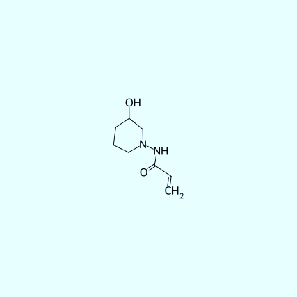 C=CC(=O)NN1CCCC(O)C1